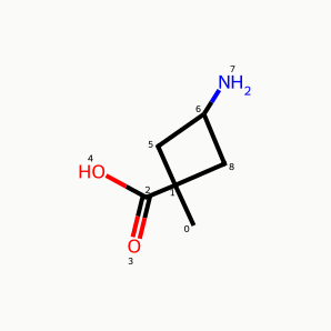 CC1(C(=O)O)CC(N)C1